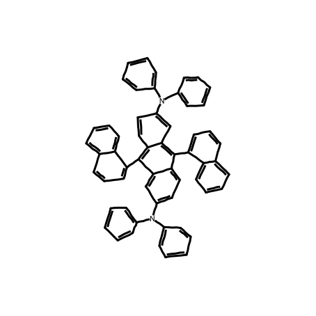 c1ccc(N(c2ccccc2)c2ccc3c(-c4cccc5ccccc45)c4cc(N(c5ccccc5)c5ccccc5)ccc4c(-c4cccc5ccccc45)c3c2)cc1